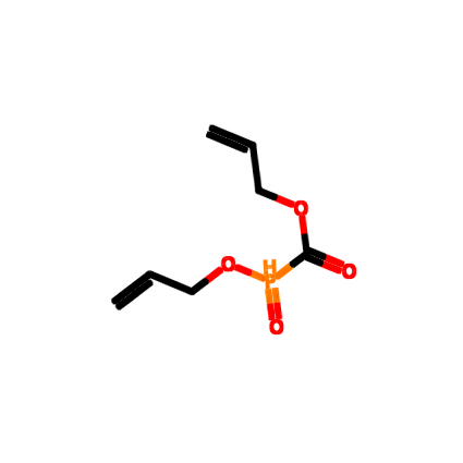 C=CCOC(=O)[PH](=O)OCC=C